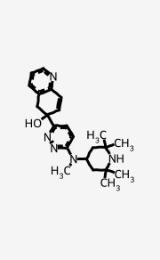 CN(c1ccc(C2(O)C=Cc3ncccc3C2)nn1)C1CC(C)(C)NC(C)(C)C1